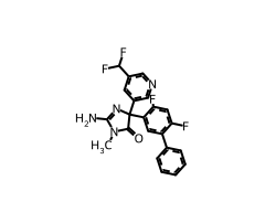 CN1C(=O)C(c2cncc(C(F)F)c2)(c2cc(-c3ccccc3)c(F)cc2F)N=C1N